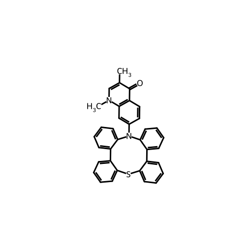 Cc1cn(C)c2cc(N3c4ccccc4-c4ccccc4Sc4ccccc4-c4ccccc43)ccc2c1=O